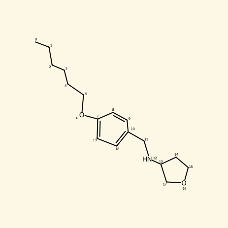 CCCCCCOc1ccc(CNC2CCOC2)cc1